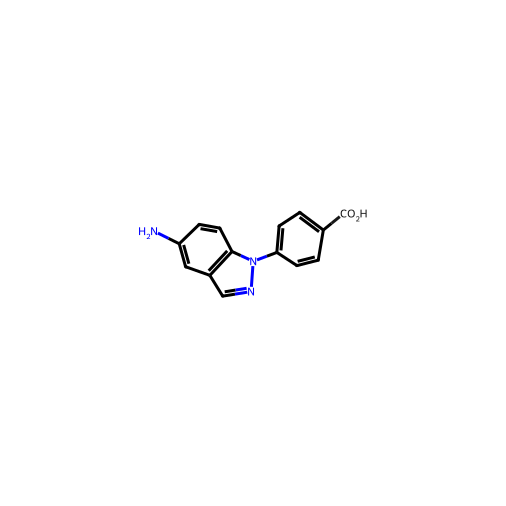 Nc1ccc2c(cnn2-c2ccc(C(=O)O)cc2)c1